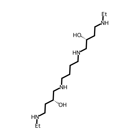 CCNCC[C@@H](O)CNCCCCNC[C@H](O)CCNCC